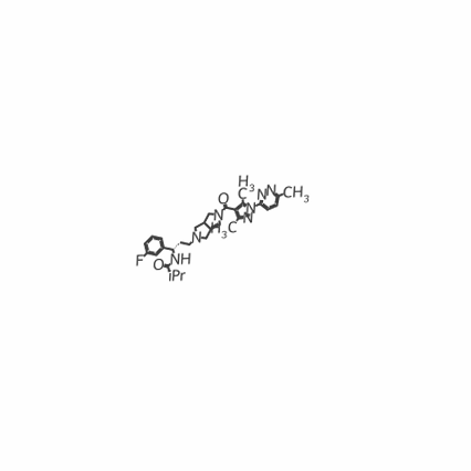 Cc1ccc(-n2nc(C)c(C(=O)N3C=C4CN(CC[C@H](NC(=O)C(C)C)c5cccc(F)c5)CC4C3)c2C)nn1